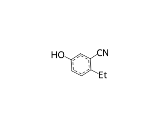 CCc1ccc(O)cc1C#N